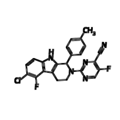 Cc1ccc(C2c3[nH]c4ccc(Cl)c(F)c4c3CCN2c2ncc(F)c(C#N)n2)cc1